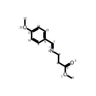 COC(=O)CC/N=C/c1ccc(OC)cc1